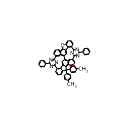 Cc1ccc(C2(c3ccc(C)cc3)c3ccc(-c4ccc5oc6cccc(-c7nc(-c8ccccc8)nc(-c8ccccc8)n7)c6c5c4)cc3-c3c(-c4nc(-c5ccccc5)nc(-c5ccccc5)n4)cccc32)cc1